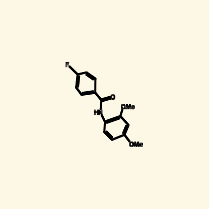 COc1ccc(NC(=O)c2ccc(F)cc2)c(OC)c1